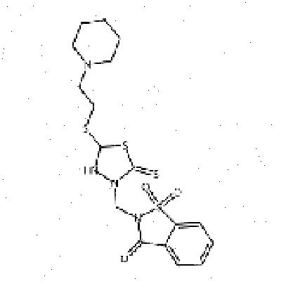 O=C1c2ccccc2S(=O)(=O)N1CN1NC(SCCN2CCCCC2)SC1=S